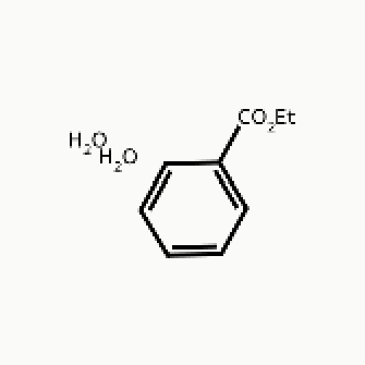 CCOC(=O)c1ccccc1.O.O